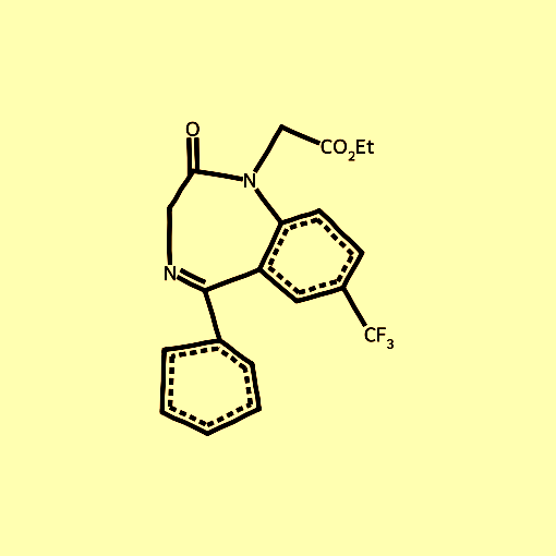 CCOC(=O)CN1C(=O)CN=C(c2ccccc2)c2cc(C(F)(F)F)ccc21